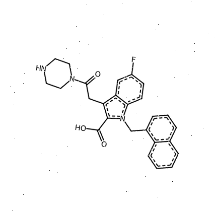 O=C(O)c1c(CC(=O)N2CCNCC2)c2cc(F)ccc2n1Cc1cccc2ccccc12